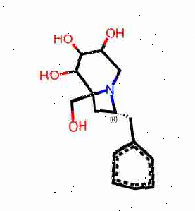 OCC12C[C@@H](Cc3ccccc3)N1CC(O)C(O)C2O